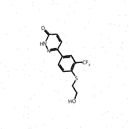 O=c1ccc(-c2ccc(SCCO)c(C(F)(F)F)c2)n[nH]1